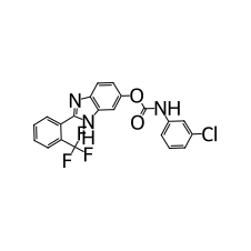 O=C(Nc1cccc(Cl)c1)Oc1ccc2nc(-c3ccccc3C(F)(F)F)[nH]c2c1